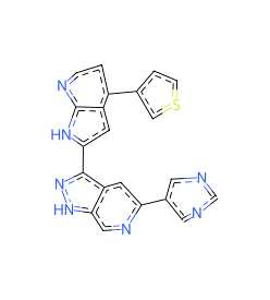 c1ncc(-c2cc3c(-c4cc5c(-c6ccsc6)ccnc5[nH]4)n[nH]c3cn2)cn1